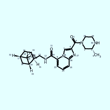 C[C@@H]1CN(C(=O)c2cn3c(C(=O)NC[C@@H]4CC[C@H]5C[C@@H]4C5(C)C)cccc3n2)CCN1